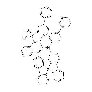 CC1(C)c2cc(-c3ccccc3)ccc2-c2c(N(c3ccc(-c4ccccc4)cc3)c3ccc4c(c3)C3(c5ccccc5-c5ccccc53)c3ccccc3-4)cc3ccccc3c21